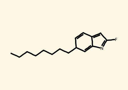 CCCCCCCCC1C=CC2=CC(F)=NC2=C1